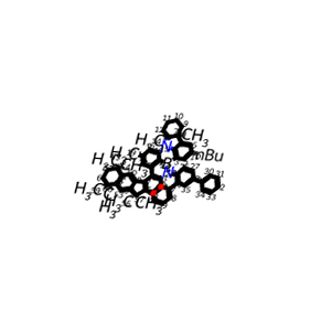 CCCCc1cc2c3c(c1)C1(C)CCCCC1(C)N3c1cc(C)cc3c1B2N(c1ccc(-c2ccccc2)cc1-c1ccccc1)c1ccc2c(c1-3)-c1cc3c(cc1C2(C)C)C(C)(C)CCC3(C)C